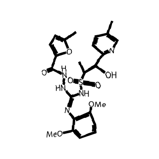 COc1cccc(OC)c1/N=C(/NNC(=O)c1ccc(C)o1)NS(=O)(=O)C(C)C(O)c1ccc(C)cn1